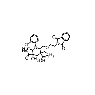 CCC1(C(=O)O)CC(C)(C(=O)O)C(C)N(c2ccccc2Cl)C1COCCN1C(=O)c2ccccc2C1=O